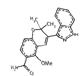 COc1c(C(N)=O)ccc2c1C=C(c1n[nH]c3ccccc13)C(C)(C)O2